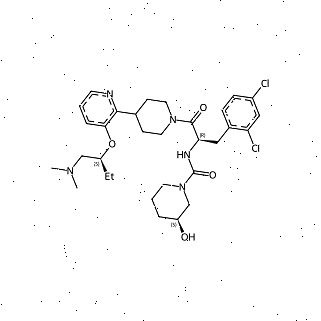 CC[C@@H](CN(C)C)Oc1cccnc1C1CCN(C(=O)[C@@H](Cc2ccc(Cl)cc2Cl)NC(=O)N2CCC[C@H](O)C2)CC1